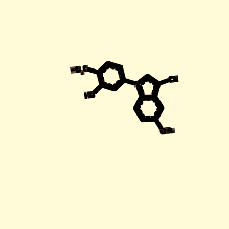 CC(C)COc1ccc2c(c1)c(C#N)cn2-c1ccc(C(=O)O)c(O)c1